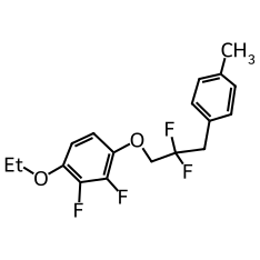 CCOc1ccc(OCC(F)(F)Cc2ccc(C)cc2)c(F)c1F